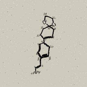 CCC/C=C/c1ccc(C2=CCC3(CC2)OCCO3)cc1